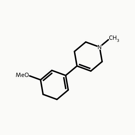 COC1=CC(C2=CCN(C)CC2)=CCC1